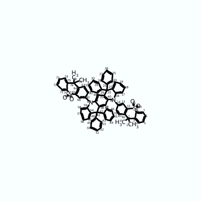 CC1(C)c2ccccc2S(=O)(=O)c2cc(N3c4ccccc4C(c4ccccc4)(c4ccccc4)c4cc5c(cc43)C(c3ccccc3)(c3ccccc3)c3ccccc3N5c3ccc4c(c3)S(=O)(=O)c3ccccc3C4(C)C)ccc21